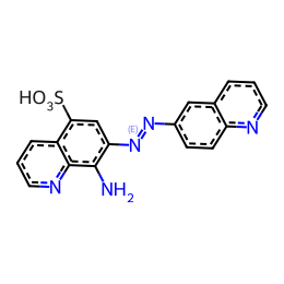 Nc1c(/N=N/c2ccc3ncccc3c2)cc(S(=O)(=O)O)c2cccnc12